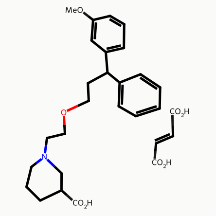 COc1cccc(C(CCOCCN2CCCC(C(=O)O)C2)c2ccccc2)c1.O=C(O)/C=C/C(=O)O